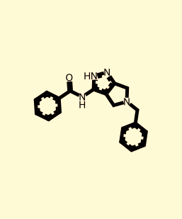 O=C(Nc1[nH]nc2c1CN(Cc1ccccc1)C2)c1ccccc1